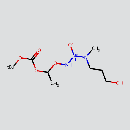 CC(ON[NH+]([O-])N(C)CCCO)OC(=O)OC(C)(C)C